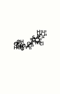 O=P(O)(O)CP(=O)(O)OC[C@@H]1CC[C@H](c2csc3c(NC4CCCC4)cc(Cl)nc23)O1